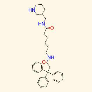 O=C(CCCCCNC(=O)CC(c1ccccc1)(c1ccccc1)c1ccccc1)NCC1CCCNC1